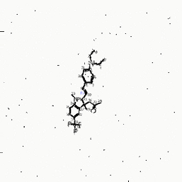 CCN(CC)c1ccc(/C=C/C2=[N+](C)c3ccc(C(F)(F)F)cc3C2(C)CC(C)=O)cc1